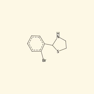 Brc1ccccc1C1NCCS1